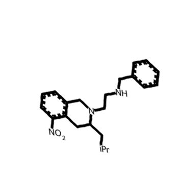 CC(C)CC1Cc2c(cccc2[N+](=O)[O-])CN1CCNCc1ccccc1